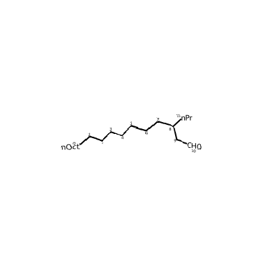 CCCCCCCCCCCCCCCC(CC=O)CCC